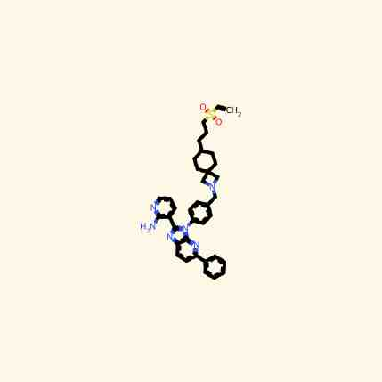 C=CS(=O)(=O)CCCC1CCC2(CC1)CN(Cc1ccc(-n3c(-c4cccnc4N)nc4ccc(-c5ccccc5)nc43)cc1)C2